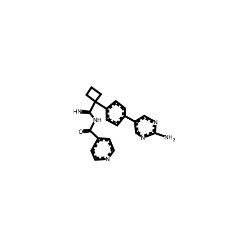 N=C(NC(=O)c1ccncc1)C1(c2ccc(-c3cnc(N)nc3)cc2)CCC1